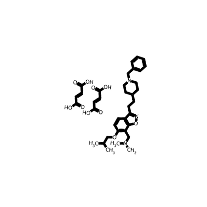 CC(C)COc1ccc2c(CCC3CCN(Cc4ccccc4)CC3)noc2c1CN(C)C.O=C(O)/C=C/C(=O)O.O=C(O)/C=C/C(=O)O